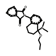 CCCOC1(N(C)C)CCCc2c(N3C(=O)c4ccccc4C3=O)cccc21